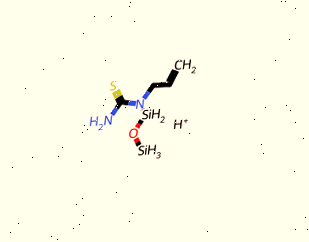 C=CCN([SiH2]O[SiH3])C(N)=S.[H+]